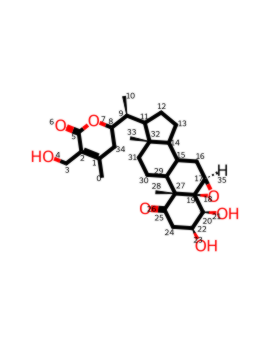 CC1=C(CO)C(=O)OC([C@@H](C)C2CCC3C4C[C@H]5O[C@]56[C@@H](O)[C@@H](O)CC(=O)[C@]6(C)C4CC[C@@]32C)C1